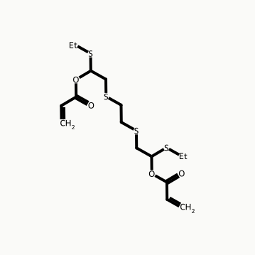 C=CC(=O)OC(CSCCSCC(OC(=O)C=C)SCC)SCC